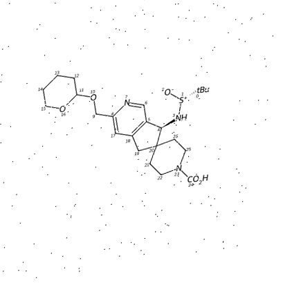 CC(C)(C)[S@@+]([O-])N[C@@H]1c2cnc(COC3CCCCO3)cc2CC12CCN(C(=O)O)CC2